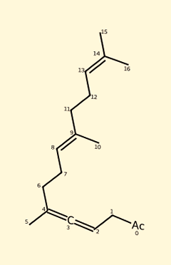 CC(=O)CC=C=C(C)CC/C=C(\C)CCC=C(C)C